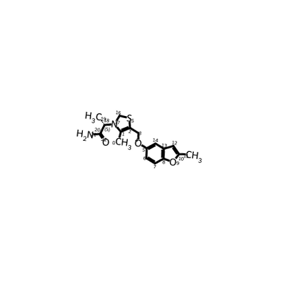 CC1=C(COc2ccc3oc(C)cc3c2)SCN1[C@@H](C)C(N)=O